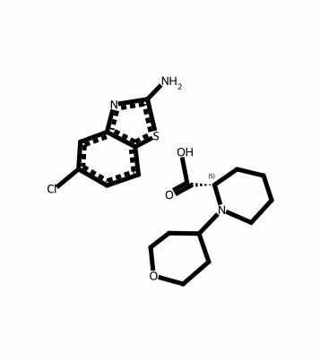 Nc1nc2cc(Cl)ccc2s1.O=C(O)[C@@H]1CCCCN1C1CCOCC1